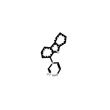 C=CN(/C=C\NC)c1cccc2c1oc1ccccc12